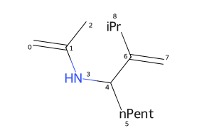 C=C(C)NC(CCCCC)C(=C)C(C)C